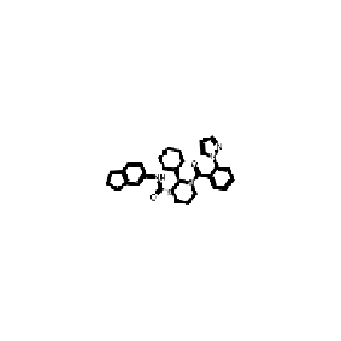 O=C(Nc1ccc2c(c1)CCC2)[C@H]1CCCN(C(=O)c2ccccc2-n2cccn2)C1C1CCCCC1